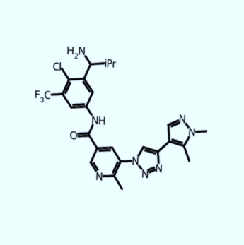 Cc1ncc(C(=O)Nc2cc(C(N)C(C)C)c(Cl)c(C(F)(F)F)c2)cc1-n1cc(-c2cnn(C)c2C)nn1